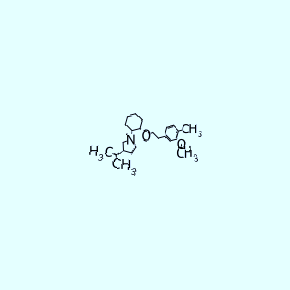 COc1cc(CCO[C@@H]2CCCC[C@H]2N2CC[C@@H](C(C)C)C2)ccc1C